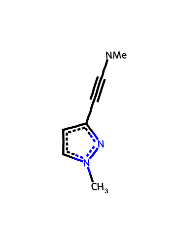 CNC#Cc1ccn(C)n1